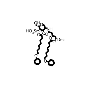 CCCCCCCCCCCC(CC(=O)N[C@H]1CO[C@H](CO)[C@@H](OS(=O)(=O)O)[C@@H]1OC(=O)CCCCCCCOc1ccccc1)OC(=O)CCCCCCCOc1ccccc1